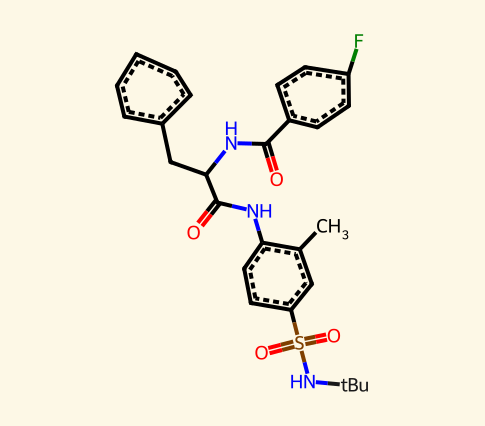 Cc1cc(S(=O)(=O)NC(C)(C)C)ccc1NC(=O)C(Cc1ccccc1)NC(=O)c1ccc(F)cc1